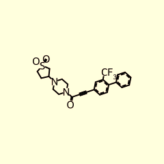 O=C(C#Cc1ccc(-c2ccccc2)c(C(F)(F)F)c1)N1CCN(C2CCS(=O)(=O)C2)CC1